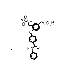 CS(=O)(=O)NCc1cc(CC(=O)O)ccc1Oc1ccc(C(=O)Nc2ccccc2)cc1